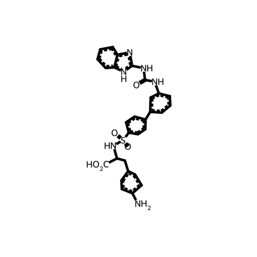 Nc1ccc(CC(NS(=O)(=O)c2ccc(-c3cccc(NC(=O)Nc4nc5ccccc5[nH]4)c3)cc2)C(=O)O)cc1